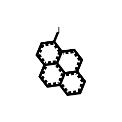 Ic1ccc2ccc3cccc4ccc1c2c34